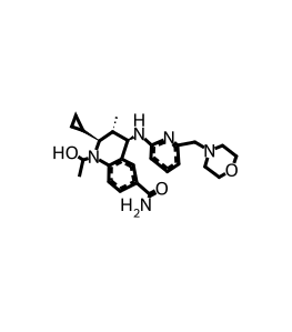 CC(O)N1c2ccc(C(N)=O)cc2[C@H](Nc2cccc(CN3CCOCC3)n2)[C@@H](C)[C@@H]1C1CC1